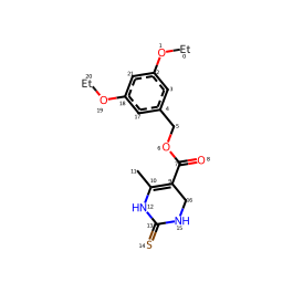 CCOc1cc(COC(=O)C2=C(C)NC(=S)NC2)cc(OCC)c1